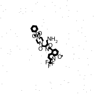 COc1ccc(-c2nc(C(=O)N3CCN(S(=O)(=O)c4ccccc4)CC3)c(CN)o2)c2ccc(C(F)(F)F)nc12